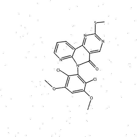 COc1cc(OC)c(Cl)c(-n2c(=O)c3cnc(SC)nc3c3cccnc32)c1Cl